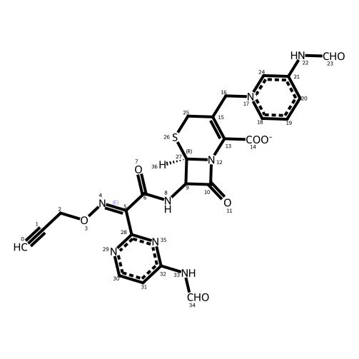 C#CCO/N=C(/C(=O)NC1C(=O)N2C(C(=O)[O-])=C(C[n+]3cccc(NC=O)c3)CS[C@H]12)c1nccc(NC=O)n1